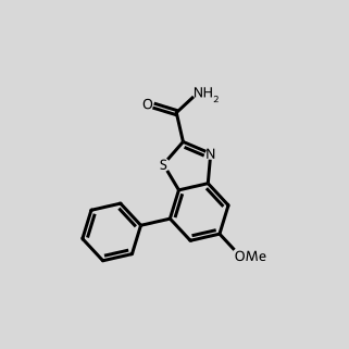 COc1cc(-c2ccccc2)c2sc(C(N)=O)nc2c1